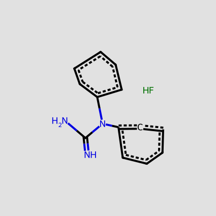 F.N=C(N)N(c1ccccc1)c1ccccc1